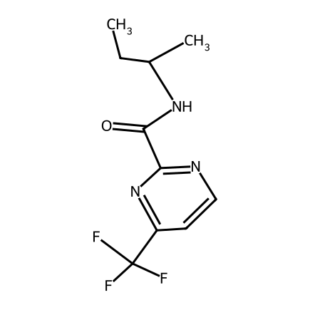 CCC(C)NC(=O)c1nccc(C(F)(F)F)n1